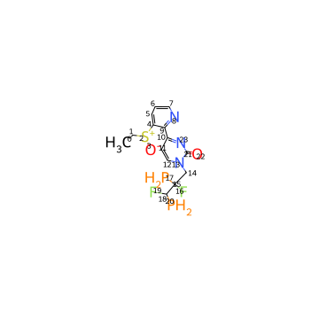 CC[S+]([O-])c1cccnc1-c1ccn(CC(F)(P)C(F)P)c(=O)n1